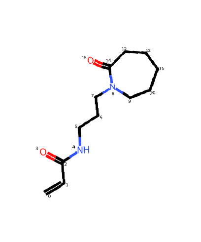 C=CC(=O)NCCCN1CCCCCC1=O